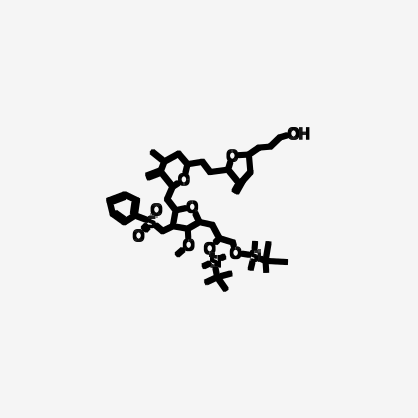 C=C1CC(CCCO)OC1CCC1CC(C)C(=C)C(CC2OC(CC(CO[Si](C)(C)C(C)(C)C)O[Si](C)(C)C(C)(C)C)C(OC)C2CS(=O)(=O)c2ccccc2)O1